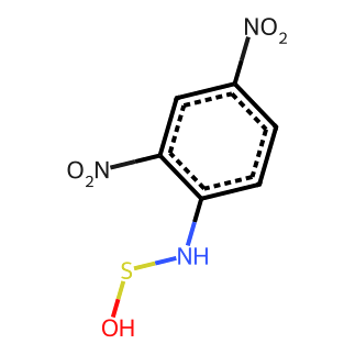 O=[N+]([O-])c1ccc(NSO)c([N+](=O)[O-])c1